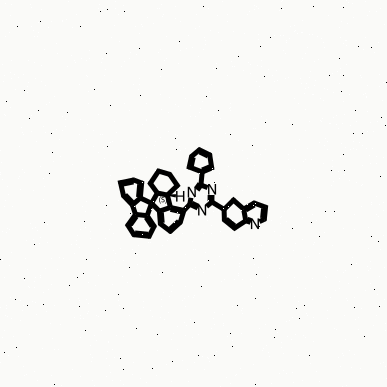 C1=CC(c2nc(-c3ccccc3)nc(-c3cccc4c3[C@H]3CCCCC3C43c4ccccc4-c4ccccc43)n2)Cc2cccnc21